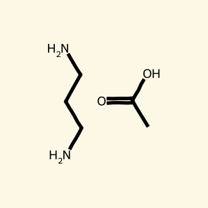 CC(=O)O.NCCCN